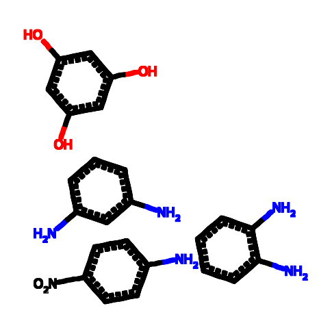 Nc1ccc([N+](=O)[O-])cc1.Nc1cccc(N)c1.Nc1ccccc1N.Oc1cc(O)cc(O)c1